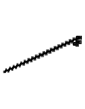 CCCCCCCCCCCCCCCCCCCCCCCCCCCCCCCCCCCCCC[C@@H](O)[SiH](Cl)Cl